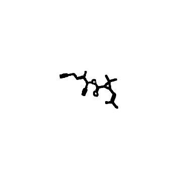 C#CC/C=C(\C)C(C#C)OC(=O)C1C(C=C(C)C)C1(C)C